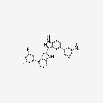 Cc1cc(F)cc(-c2cccc3[nH]c(-c4n[nH]c5ccc(-c6cncc(N(C)C)c6)cc45)cc23)c1